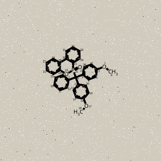 COc1ccc(C(c2ccccc2)(c2ccc(OC)cc2)P2(=O)Oc3ccccc3-c3ccccc32)cc1